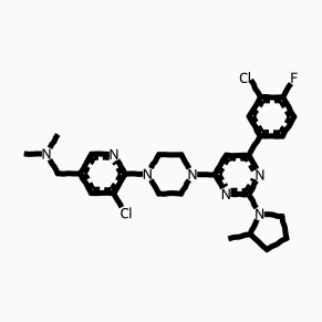 CC1CCCN1c1nc(-c2ccc(F)c(Cl)c2)cc(N2CCN(c3ncc(CN(C)C)cc3Cl)CC2)n1